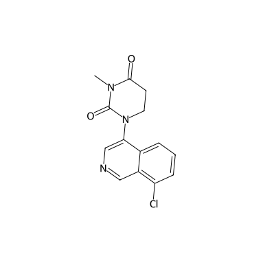 CN1C(=O)CCN(c2cncc3c(Cl)cccc23)C1=O